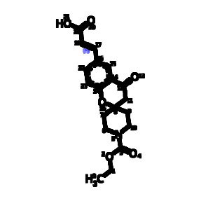 CCOC(=O)N1CCC2(CC1)CC(=O)c1cc(/C=C/C(=O)O)ccc1O2